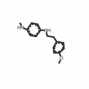 CNc1ccc(NCCc2ccc(OC)cc2)cc1